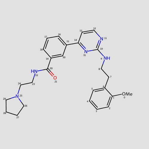 COc1ccccc1CCNc1nccc(-c2cccc(C(=O)NCCN3CCCC3)c2)n1